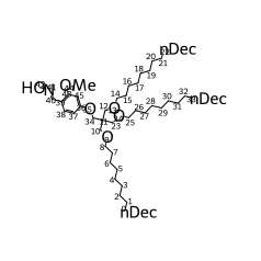 CCCCCCCCCCCCCCCCCCOCC(COCCCCCCCCCCCCCCCCCC)(COCCCCCCCCCCCCCCCCCC)COc1ccc(C=NO)c(OC)c1